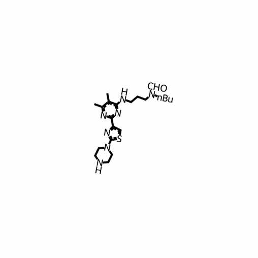 CCCCN(C=O)CCCNc1nc(-c2csc(N3CCNCC3)n2)nc(C)c1C